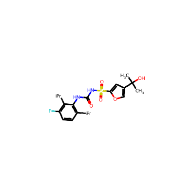 CC(C)c1ccc(F)c(C(C)C)c1NC(=O)NS(=O)(=O)c1cc(C(C)(C)O)co1